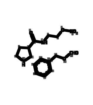 O=C(NCCO[N+](=O)[O-])C1CCNC1.O=COC[n+]1ccccc1